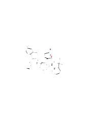 CCC[C@H]1N(C(=O)c2ncccc2C(F)(F)F)CCC[C@]1(Oc1csc(C(F)(F)F)c1)C(=O)N1CCc2cc(Br)ccc2C1CCC(=O)O